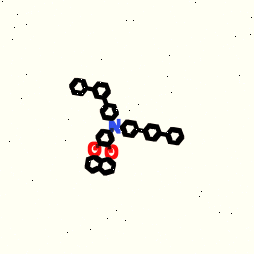 c1ccc(-c2ccc(-c3ccc(N(c4ccc(-c5cccc(-c6ccccc6)c5)cc4)c4ccc5c(c4)Oc4cccc6cccc(c46)O5)cc3)cc2)cc1